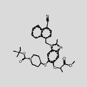 COC(=O)C(C)Oc1cc2nc(C)n(Cc3ccc(C#N)c4ccccc34)c2cc1OC1CCN(C(=O)OC(C)(C)C)CC1